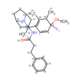 COC1(I)C=CC(C(C)N2C3CCC2CC(NC(=O)CCc2ccccc2)C3)=C(C)C1C